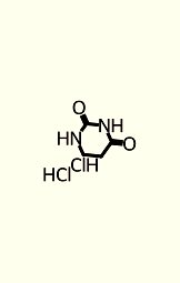 Cl.Cl.O=C1CCNC(=O)N1